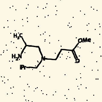 COC(=O)CCN(CC(C)C)CC(C)N